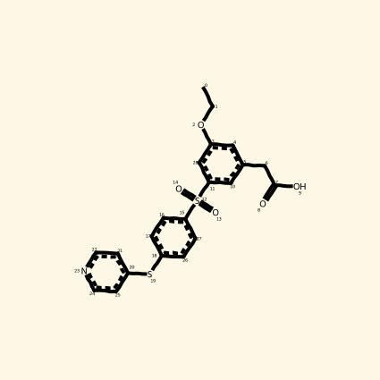 CCOc1cc(CC(=O)O)cc(S(=O)(=O)c2ccc(Sc3ccncc3)cc2)c1